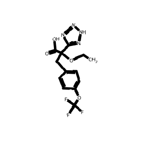 CCOC(Cc1ccc(OC(F)(F)F)cc1)(C(=O)O)c1nn[nH]n1